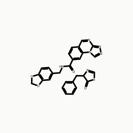 O=C(NCc1ccc2c(c1)OCO2)c1ccc2cnc3nncn3c2c1.O=C1SC=NC1Cc1ccccc1